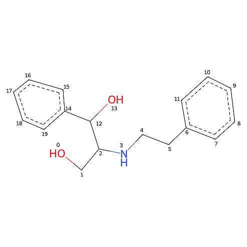 OCC(NCCc1ccccc1)C(O)c1ccccc1